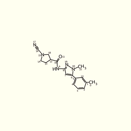 Cc1cccc(-c2cc(NC(=O)C3CCN(C#N)C3)nn2C)c1